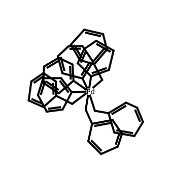 c1ccc([CH2][Pd]([CH2]c2ccccc2)([CH2]c2ccccc2)([CH2]c2ccccc2)([c]2ccccc2)([c]2ccccc2)([c]2ccccc2)[c]2ccccc2)cc1